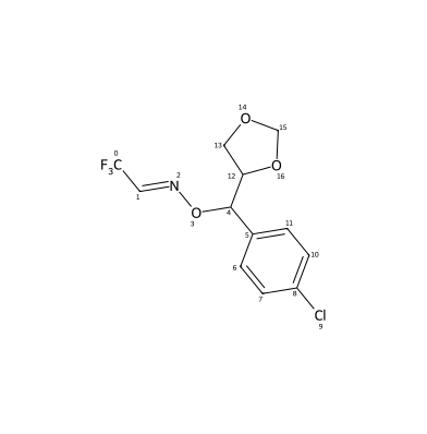 FC(F)(F)C=NOC(c1ccc(Cl)cc1)C1COCO1